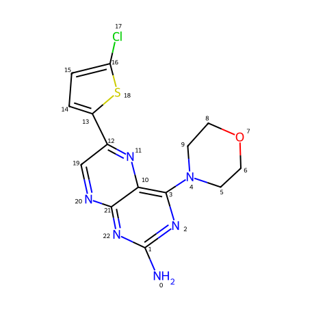 Nc1nc(N2CCOCC2)c2nc(-c3ccc(Cl)s3)cnc2n1